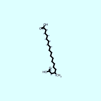 CC(CCCCCCCCCCCCCCCC(=O)O)CC(=O)O